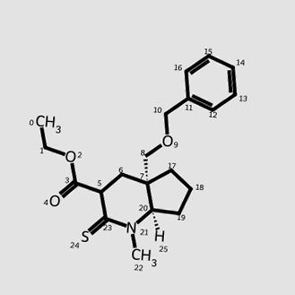 CCOC(=O)C1C[C@@]2(COCc3ccccc3)CCC[C@H]2N(C)C1=S